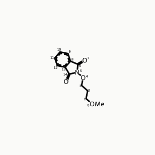 COCCCON1C(=O)c2ccccc2C1=O